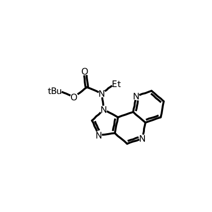 CCN(C(=O)OC(C)(C)C)n1cnc2cnc3cccnc3c21